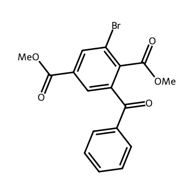 COC(=O)c1cc(Br)c(C(=O)OC)c(C(=O)c2ccccc2)c1